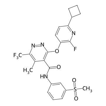 Cc1c(C(F)(F)F)nnc(Oc2ccc(C3CCC3)nc2F)c1C(=O)Nc1cccc(S(C)(=O)=O)c1